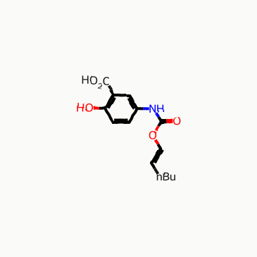 CCCCC=COC(=O)Nc1ccc(O)c(C(=O)O)c1